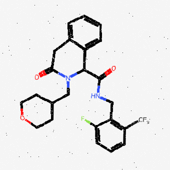 O=C(NCc1c(F)cccc1C(F)(F)F)C1c2ccccc2CC(=O)N1CC1CCOCC1